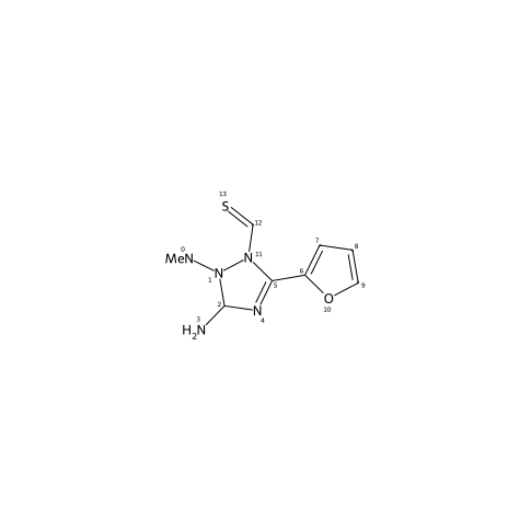 CNN1C(N)N=C(c2ccco2)N1C=S